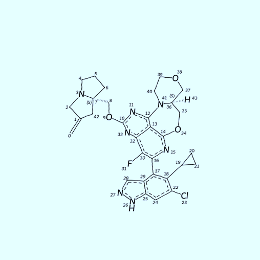 C=C1CN2CCC[C@@]2(COc2nc3c4c(nc(-c5c(C6CC6)c(Cl)cc6[nH]ncc56)c(F)c4n2)OC[C@@H]2COCCN32)C1